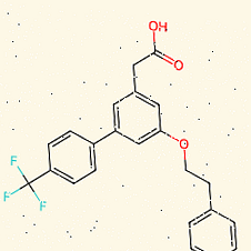 O=C(O)Cc1cc(OCCc2ccccc2)cc(-c2ccc(C(F)(F)F)cc2)c1